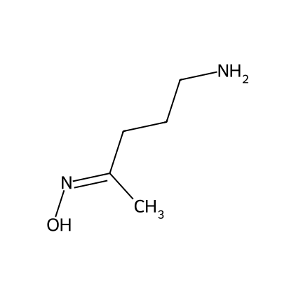 C/C(CCCN)=N\O